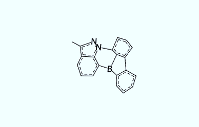 Cc1nn2c3c(cccc13)B1c3ccccc3-c3cccc-2c31